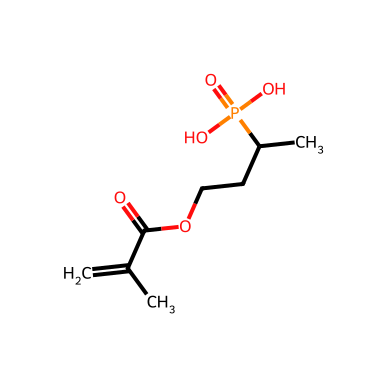 C=C(C)C(=O)OCCC(C)P(=O)(O)O